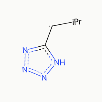 CC(C)[CH]c1nnn[nH]1